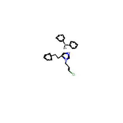 CC(C)B(c1ccccc1)c1ccccc1.ClC=CCn1cncc1CCc1ccccc1